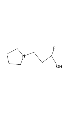 OC(F)CCN1CCCC1